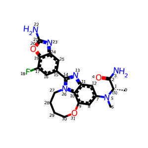 C[C@@H](C(N)=O)N(C)c1cc2c3c(c1)nc(-c1cc(F)c4oc(N)nc4c1)n3CCCCO2